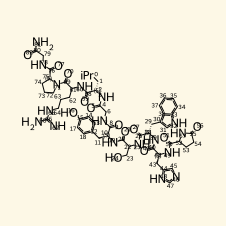 CC(C)C[C@H](NC(=O)CNC(=O)[C@H](Cc1ccc(O)cc1)NC(=O)C(CO)NC(=O)[C@H](Cc1c[nH]c2ccccc12)NC(=O)[C@H](Cc1cnc[nH]1)NC(=O)C1CCC(=O)N1)C(=O)NC(CCCNC(=N)N)C(=O)N1CCC[C@H]1C(=O)NCC(N)=O